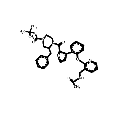 CC(=O)NCc1cccnc1Oc1ccccc1-c1ccsc1C(=O)N1CCN(C(=O)OC(C)(C)C)CC1Cc1ccccc1